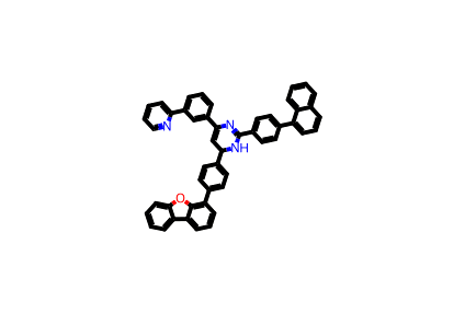 C1=C(c2cccc(-c3ccccn3)c2)N=C(c2ccc(-c3cccc4ccccc34)cc2)NC1c1ccc(-c2cccc3c2oc2ccccc23)cc1